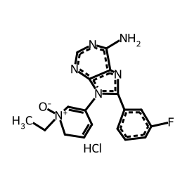 CC[N+]1([O-])C=C(n2c(-c3cccc(F)c3)nc3c(N)ncnc32)C=CC1.Cl